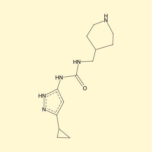 O=C(NCC1CCNCC1)Nc1cc(C2CC2)n[nH]1